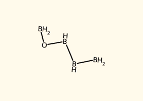 BBBOB